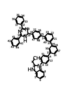 CCC1Nc2ccccc2N1c1ccc(-c2cccc(-c3cccc(-c4ccc(C5N=C(c6ccccc6)N=C(c6ccccc6)N5)cc4)c3)c2)cc1